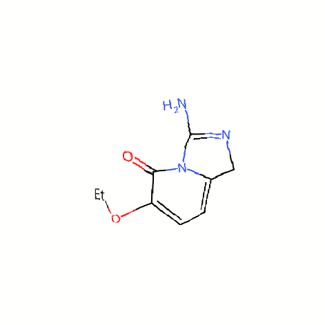 CCOc1ccc2n(c1=O)C(N)=NC2